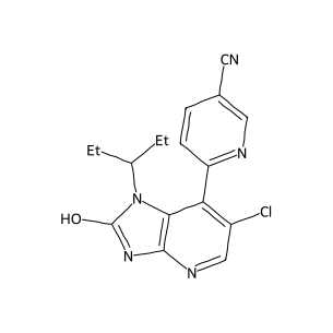 CCC(CC)n1c(O)nc2ncc(Cl)c(-c3ccc(C#N)cn3)c21